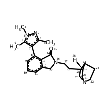 Cc1nn(C)c(C)c1-c1cccc2c1C(=O)N(CC[C@H]1CN3CCC1CC3)C2